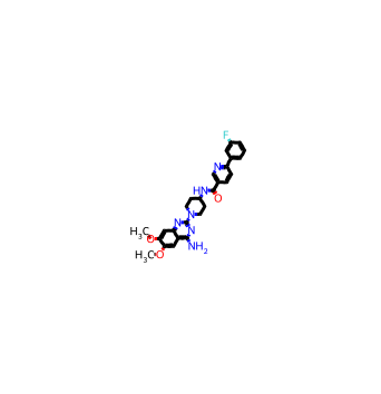 COc1cc2nc(N3CCC(NC(=O)c4ccc(-c5cccc(F)c5)nc4)CC3)nc(N)c2cc1OC